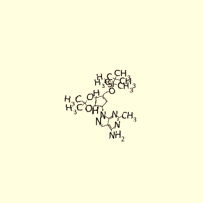 Cc1nc(N)c2cnn([C@@H]3C=C(CO[Si](C)(C)C(C)(C)C)[C@H]4OC(C)(C)O[C@H]43)c2n1